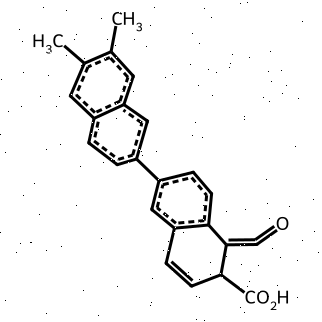 Cc1cc2ccc(-c3ccc4c(c3)C=CC(C(=O)O)C4=C=O)cc2cc1C